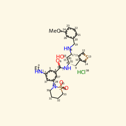 CCNc1cc(C(=O)N[C@@H](Cc2ccsc2)[C@H](O)CNCc2cccc(OC)c2)cc(N2CCCCS2(=O)=O)c1.Cl